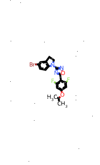 CC(C)Oc1cc(F)c(-c2nc(N3CCc4cc(Br)ccc43)no2)c(F)c1